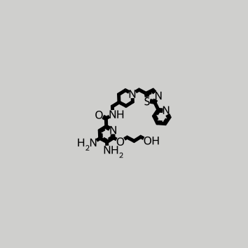 Nc1cc(C(=O)NCC2CCN(Cc3cnc(-c4ccccn4)s3)CC2)nc(OCCCO)c1N